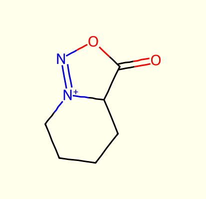 O=C1ON=[N+]2CCCCC12